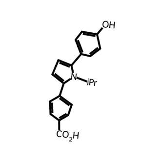 CC(C)n1c(-c2ccc(O)cc2)ccc1-c1ccc(C(=O)O)cc1